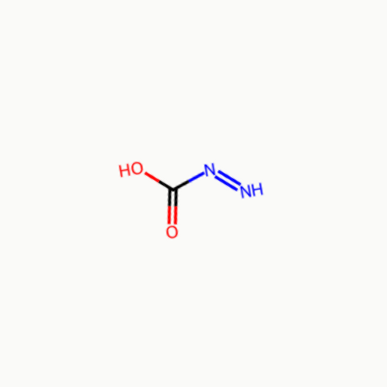 N=NC(=O)O